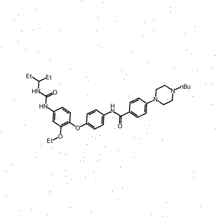 CCCCN1CCN(c2ccc(C(=O)Nc3ccc(Oc4ccc(NC(=O)NC(CC)CC)cc4OCC)cc3)cc2)CC1